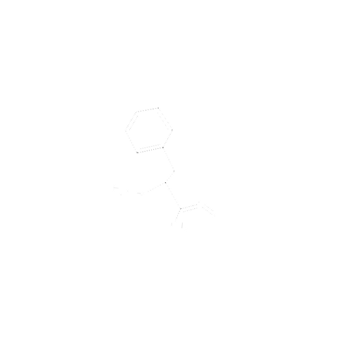 CC(=S=O)C(Br)Cc1ccccc1.S